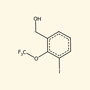 O[CH]c1cccc(I)c1OC(F)(F)F